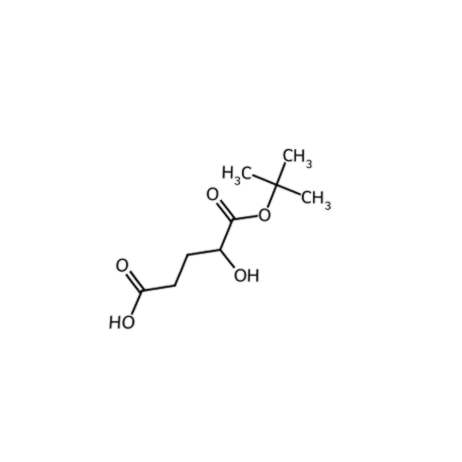 CC(C)(C)OC(=O)C(O)CCC(=O)O